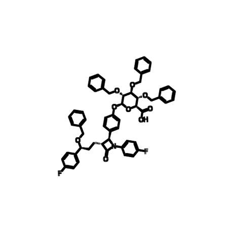 O=C(O)[C@H]1O[C@@H](Oc2ccc([C@@H]3[C@@H](CC[C@H](OCc4ccccc4)c4ccc(F)cc4)C(=O)N3c3ccc(F)cc3)cc2)[C@H](OCc2ccccc2)[C@@H](OCc2ccccc2)[C@@H]1OCc1ccccc1